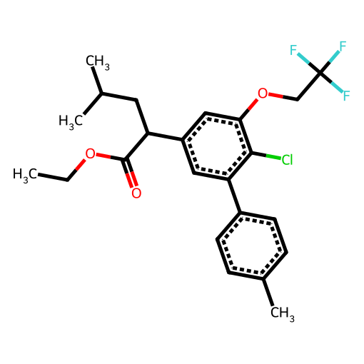 CCOC(=O)C(CC(C)C)c1cc(OCC(F)(F)F)c(Cl)c(-c2ccc(C)cc2)c1